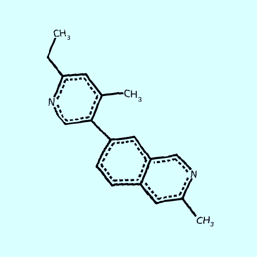 CCc1cc(C)c(-c2ccc3cc(C)ncc3c2)cn1